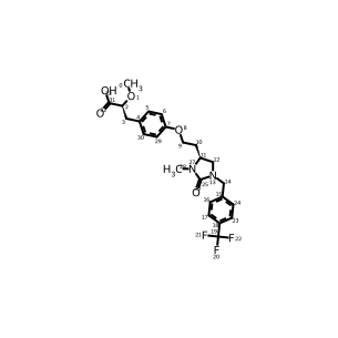 CO[C@@H](Cc1ccc(OCC[C@H]2CN(Cc3ccc(C(F)(F)F)cc3)C(=O)N2C)cc1)C(=O)O